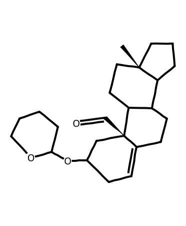 C[C@@]12CCCC1C1CCC3=CCC(OC4CCCCO4)C[C@]3(C=O)C1CC2